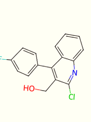 OCc1c(Cl)nc2ccccc2c1-c1ccc(F)cc1